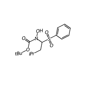 CC(C)CC(N(O)C(=O)OC(C)(C)C)S(=O)(=O)c1ccccc1